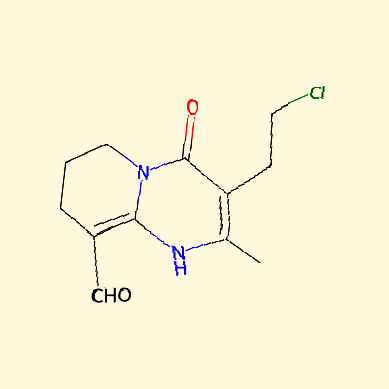 CC1=C(CCCl)C(=O)N2CCCC(C=O)=C2N1